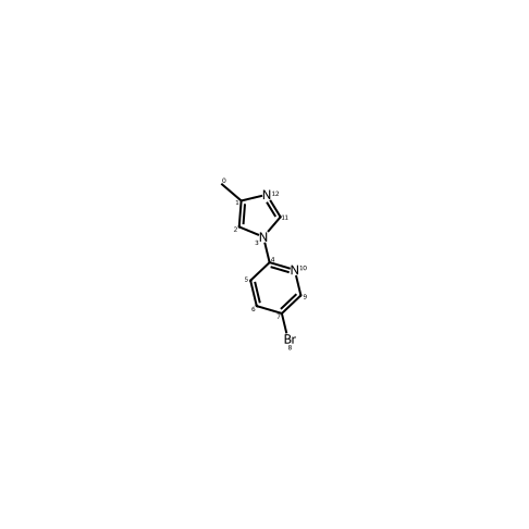 Cc1cn(-c2ccc(Br)cn2)cn1